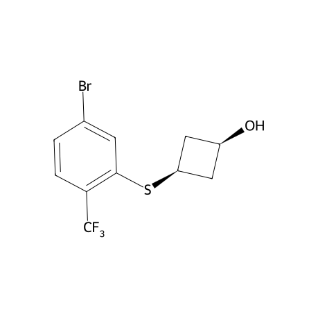 O[C@H]1C[C@@H](Sc2cc(Br)ccc2C(F)(F)F)C1